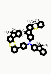 CC1(C)c2ccccc2-c2ccc(N(c3ccc(-c4cccc5c4Sc4c(ccc6c4-c4ccccc4C6(C)C)S5)cc3)c3ccc4c(c3)C(C)(C)c3ccc5c(c3-4)Sc3ccccc3[Si]5(C)C)cc21